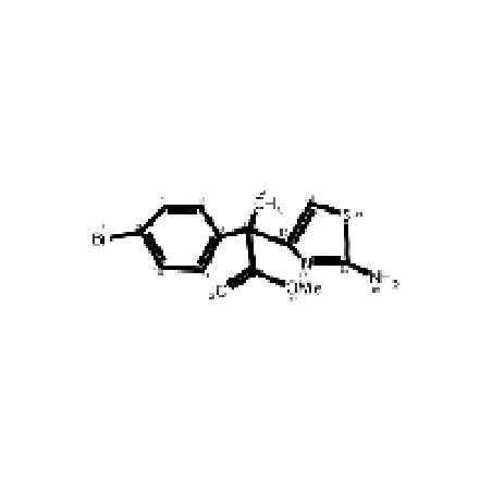 COC(=O)C(C)(c1ccc(Br)cc1)c1csc(N)n1